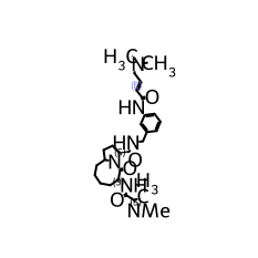 CN[C@@H](C)C(=O)N[C@H]1CCCCC2CC[C@@H](C(=O)NCc3cccc(NC(=O)/C=C/CN(C)C)c3)N2C1=O